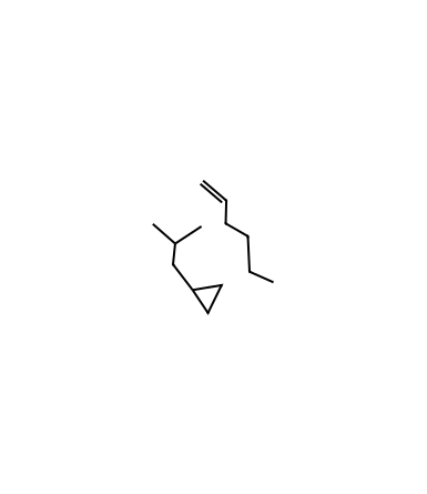 C=CCCCC.CC(C)CC1CC1